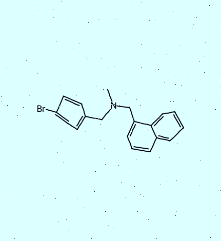 CN(Cc1ccc(Br)cc1)Cc1cccc2ccccc12